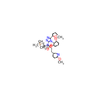 COc1ccc(CCS(=O)(=O)N(CCS(C)(C)C)c2nnc(-c3ccco3)n2-c2c(OC)cccc2OC)cn1